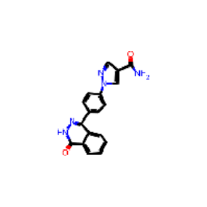 NC(=O)c1cnn(-c2ccc(-c3n[nH]c(=O)c4ccccc34)cc2)c1